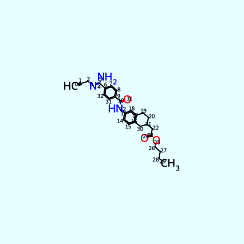 C#CCN=C(N)c1ccc(C(=O)Nc2ccc3c(c2)CCC(CC(=O)OCCCC)C3)cc1